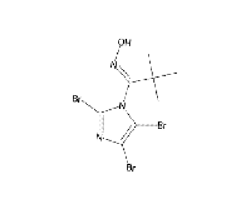 CC(C)(C)C(=NO)n1c(Br)nc(Br)c1Br